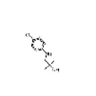 CC(C)(O)CNc1ccc(Cl)nn1